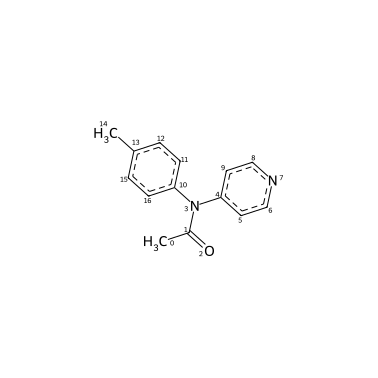 CC(=O)N(c1ccncc1)c1ccc(C)cc1